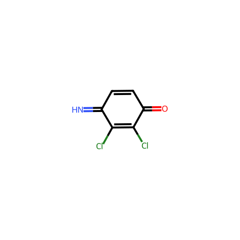 N=C1C=CC(=O)C(Cl)=C1Cl